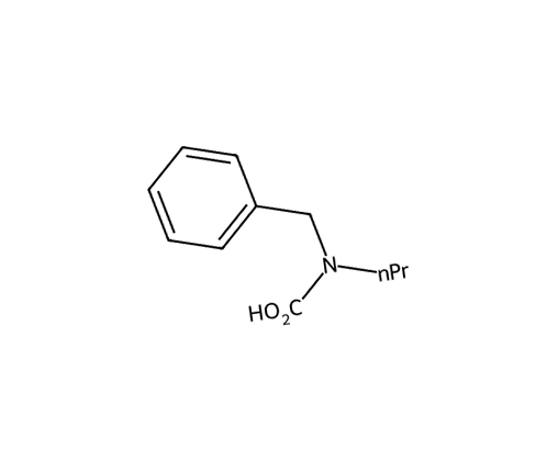 [CH2]CCN(Cc1ccccc1)C(=O)O